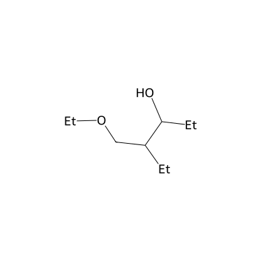 CCOCC(CC)C(O)CC